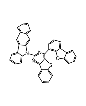 c1ccc2cc3c(cc2c1)c1ccccc1n3-c1nc(-c2cccc3c2oc2ccccc23)c2sc3ccccc3c2n1